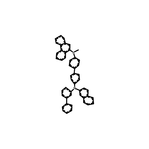 CN(c1ccc(-c2ccc(N(c3cccc(-c4ccccc4)c3)c3ccc4ccccc4c3)cc2)cc1)c1cc2ccccc2c2ccccc12